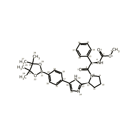 COC(=O)N[C@@H](C(=O)N1CCC[C@H]1c1ncc(-c2ccc(B3OC(C)(C)C(C)(C)O3)cc2)[nH]1)c1ccccc1